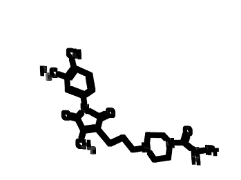 CC1=C(CCCN2CCN(C(=O)NC(C)C)CC2)C(=O)N(c2ccc(C#N)c(C(F)(F)F)c2)C1=O